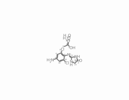 CC(=O)O.Nc1cc(Cl)c(N=C2NCCN2)c(Cl)c1.O.O.O